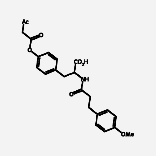 COc1ccc(CCC(=O)NC(Cc2ccc(OC(=O)CC(C)=O)cc2)C(=O)O)cc1